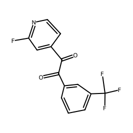 O=C(C(=O)c1ccnc(F)c1)c1cccc(C(F)(F)F)c1